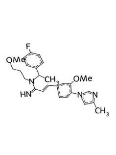 COCCCN(C(=N)/C=C/c1ccc(-n2cnc(C)c2)c(OC)c1)C(C)c1ccc(F)cc1